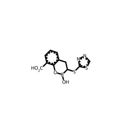 O=C(O)c1cccc2c1OB(O)C(Sc1nncs1)C2